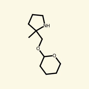 CC1(COC2CCCCO2)CCCN1